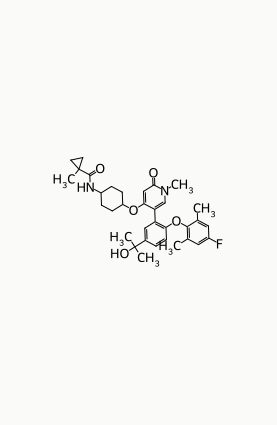 Cc1cc(F)cc(C)c1Oc1ccc(C(C)(C)O)cc1-c1cn(C)c(=O)cc1OC1CCC(NC(=O)C2(C)CC2)CC1